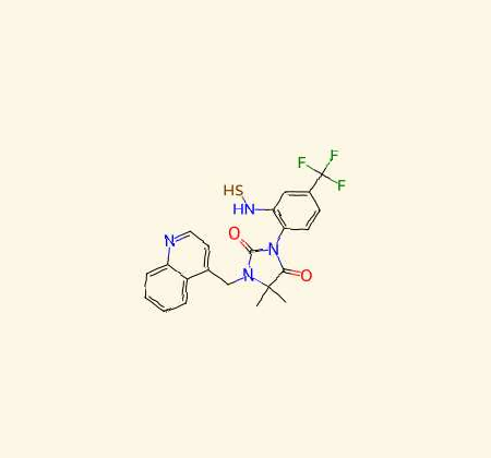 CC1(C)C(=O)N(c2ccc(C(F)(F)F)cc2NS)C(=O)N1Cc1ccnc2ccccc12